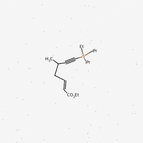 CCOC(=O)/C=C/CC(C)C#CS(CC)(C(C)C)C(C)C